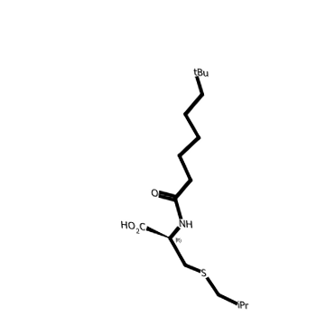 CC(C)CSC[C@H](NC(=O)CCCCCC(C)(C)C)C(=O)O